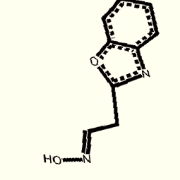 O/N=C/Cc1nc2ccccc2o1